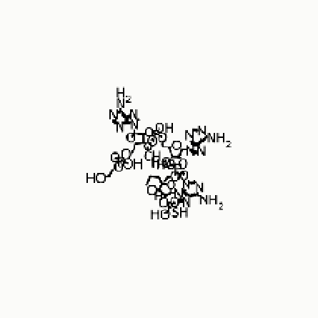 CO[C@@H]1C(OP(=O)(O)OC[C@H]2O[C@@H](n3cnc4c(N)ncnc43)C(OP(=O)(O)OC[C@]34CCCO[C@@H]3C(OP(=O)(O)S)[C@H](n3cnc5c(N)ncnc53)O4)[C@H]2O)[C@H](n2cnc3c(N)ncnc32)O[C@@H]1COP(=O)(O)OCCO